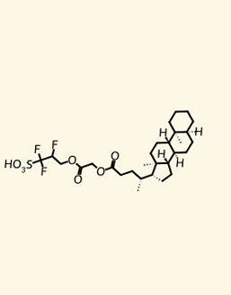 C[C@H](CCC(=O)OCC(=O)OCC(F)C(F)(F)S(=O)(=O)O)[C@H]1CC[C@H]2[C@@H]3CC[C@@H]4CCCC[C@]4(C)[C@H]3CC[C@]12C